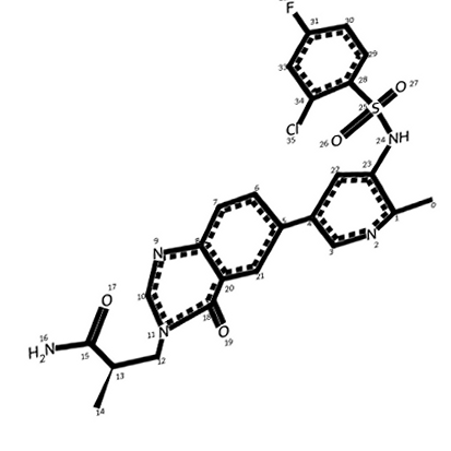 Cc1ncc(-c2ccc3ncn(C[C@@H](C)C(N)=O)c(=O)c3c2)cc1NS(=O)(=O)c1ccc(F)cc1Cl